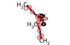 C=CC(=O)OCCOCCCOC(C)OC(COC(C)OCCOCCOC(=O)C=C)(C(=O)c1ccccc1)c1ccccc1